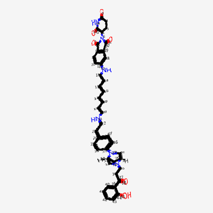 O=C1CCC(N2C(=O)c3ccc(NCCCCCCCCNCCc4ccc(N5C[C@H]6C[C@@H]5CN6CCC(=O)c5ccccc5O)cc4)cc3C2=O)C(=O)N1